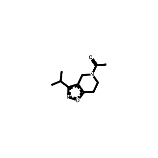 CC(=O)N1CCc2onc(C(C)C)c2C1